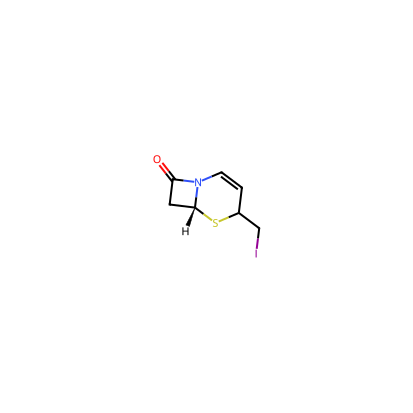 O=C1C[C@H]2SC(CI)C=CN12